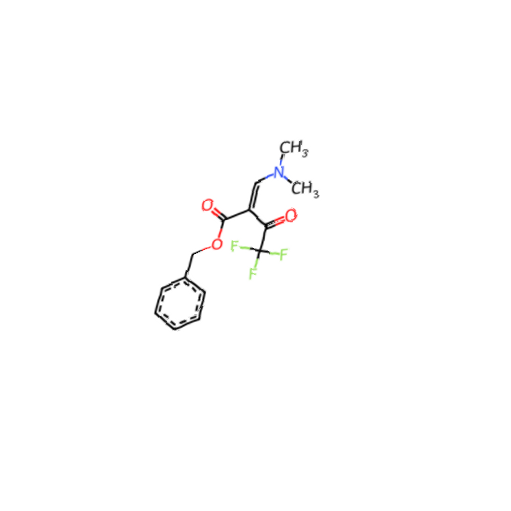 CN(C)/C=C(/C(=O)OCc1ccccc1)C(=O)C(F)(F)F